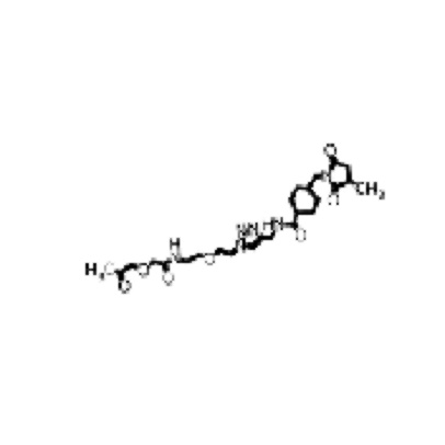 CC(=O)COCC(=O)NCCOCCn1cc(CNC(=O)C2CCC(CN3C(=O)CC(C)C3=O)CC2)nn1